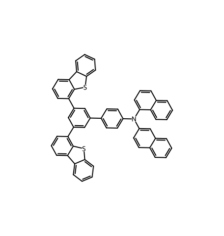 c1ccc2cc(N(c3ccc(-c4cc(-c5cccc6c5sc5ccccc56)cc(-c5cccc6c5sc5ccccc56)c4)cc3)c3cccc4ccccc34)ccc2c1